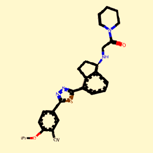 CC(C)Oc1ccc(-c2nnc(-c3cccc4c3CC[C@H]4NCC(=O)N3CCCCC3)s2)cc1C#N